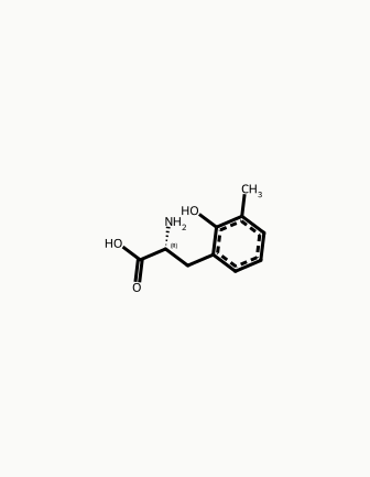 Cc1cccc(C[C@@H](N)C(=O)O)c1O